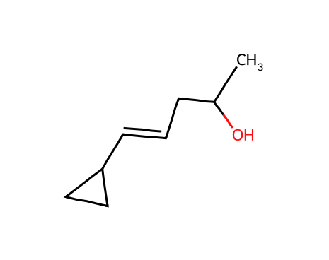 CC(O)CC=CC1CC1